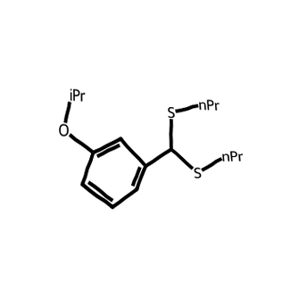 CCCSC(SCCC)c1cccc(OC(C)C)c1